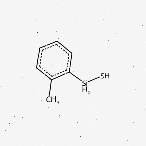 Cc1ccccc1[SiH2]S